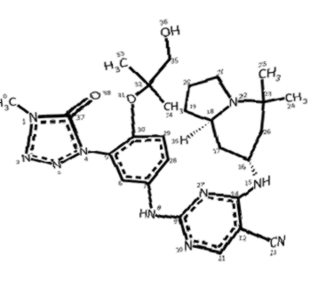 Cn1nnn(-c2cc(Nc3ncc(C#N)c(N[C@@H]4C[C@H]5CCCN5C(C)(C)C4)n3)ccc2OC(C)(C)CO)c1=O